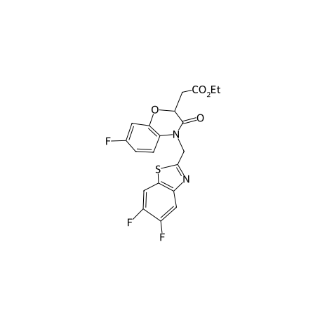 CCOC(=O)CC1Oc2cc(F)ccc2N(Cc2nc3cc(F)c(F)cc3s2)C1=O